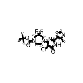 Cc1ncsc1-c1nc(N2CCN(C(=O)OC(C)(C)C)CC(F)(F)C2)c(Cl)c(=O)[nH]1